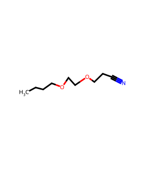 CCCCOCCOCCC#N